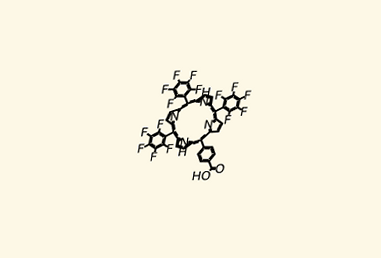 O=C(O)c1ccc(-c2c3nc(c(-c4c(F)c(F)c(F)c(F)c4F)c4ccc([nH]4)c(-c4c(F)c(F)c(F)c(F)c4F)c4nc(c(-c5c(F)c(F)c(F)c(F)c5F)c5ccc2[nH]5)C=C4)C=C3)cc1